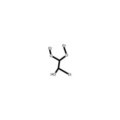 [CH2]CC(O)C(OCC)OCC